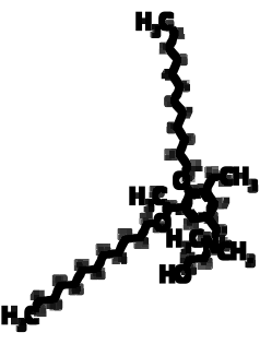 CCCCCCCCCCCCOc1c(CC)cc(C[N+](C)(C)CCO)cc1C(C)OCCCCCCCCCCCC